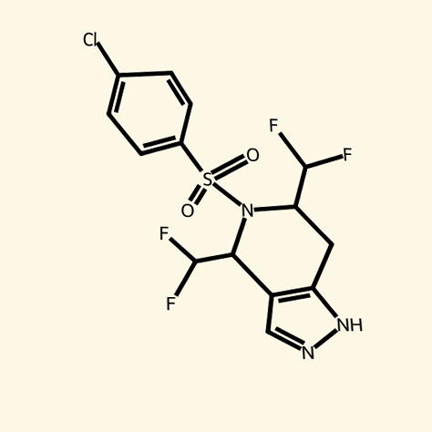 O=S(=O)(c1ccc(Cl)cc1)N1C(C(F)F)Cc2[nH]ncc2C1C(F)F